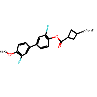 CCCCCCOc1ccc(-c2ccc(OC(=O)C3CC(CCCCC)C3)c(F)c2)cc1F